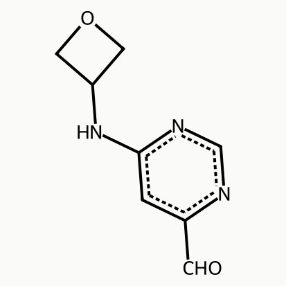 O=Cc1cc(NC2COC2)ncn1